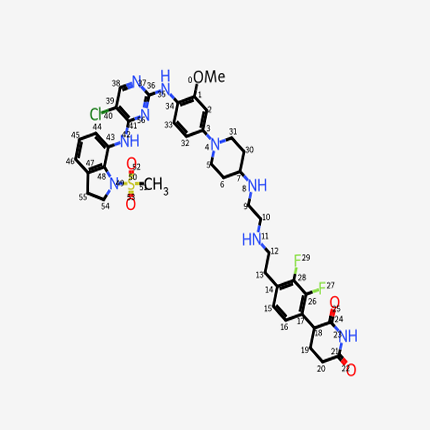 COc1cc(N2CCC(NCCNCCc3ccc(C4CCC(=O)NC4=O)c(F)c3F)CC2)ccc1Nc1ncc(Cl)c(Nc2cccc3c2N(S(C)(=O)=O)CC3)n1